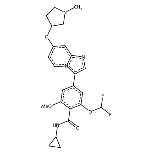 COc1cc(-c2cnc3cc(OC4CCN(C)C4)ccn23)cc(OC(F)F)c1C(=O)NC1CC1